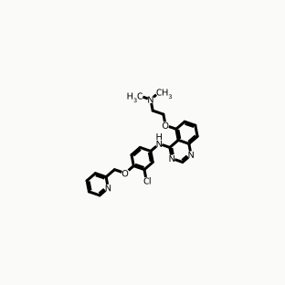 CN(C)CCOc1cccc2ncnc(Nc3ccc(OCc4ccccn4)c(Cl)c3)c12